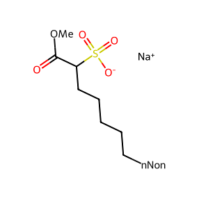 CCCCCCCCCCCCCCC(C(=O)OC)S(=O)(=O)[O-].[Na+]